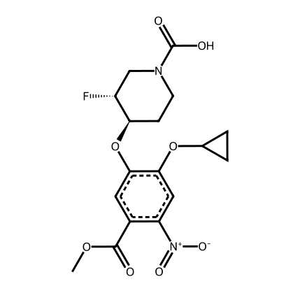 COC(=O)c1cc(O[C@@H]2CCN(C(=O)O)C[C@H]2F)c(OC2CC2)cc1[N+](=O)[O-]